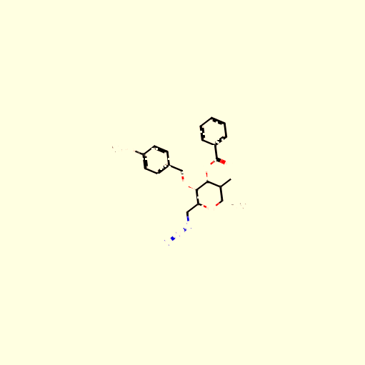 COc1ccc(CO[C@@H]2C(CN=[N+]=[N-])O[C@@H](SC)C(C)[C@@H]2OC(=O)c2ccccc2)cc1